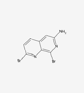 Nc1cc2ccc(Br)nc2c(Br)n1